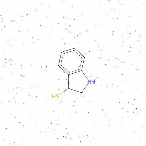 SC1CNc2ccccc21